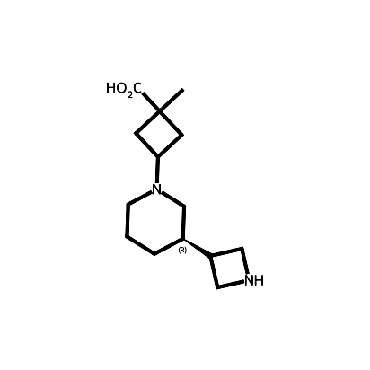 CC1(C(=O)O)CC(N2CCC[C@H](C3CNC3)C2)C1